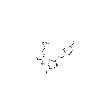 COCCOC(=O)Nc1nc(OCc2ccc(F)cc2)ncc1F